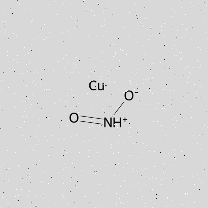 O=[NH+][O-].[Cu]